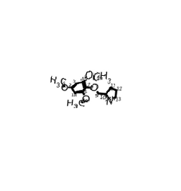 COc1cc(OC)c(OCC2CCC[N]2)c(OC)c1